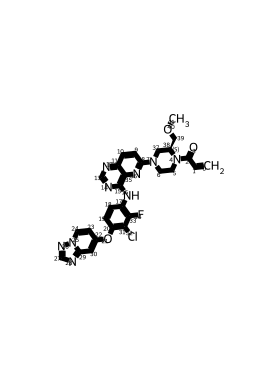 C=CC(=O)N1CCN(c2ccc3ncnc(Nc4ccc(Oc5ccn6ncnc6c5)c(Cl)c4F)c3n2)C[C@H]1COC